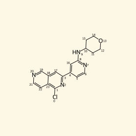 Clc1nc(-c2ccnc(NC3CCOCC3)c2)cc2cnccc12